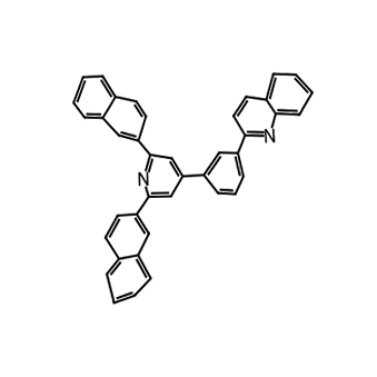 c1cc(-c2cc(-c3ccc4ccccc4c3)nc(-c3ccc4ccccc4c3)c2)cc(-c2ccc3ccccc3n2)c1